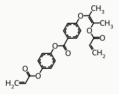 C=CC(=O)OC(C)=C(C)Oc1ccc(C(=O)Oc2ccc(OC(=O)C=C)cc2)cc1